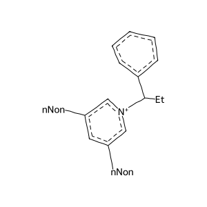 CCCCCCCCCc1cc(CCCCCCCCC)c[n+](C(CC)c2ccccc2)c1